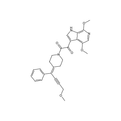 COCC#CC(=C1CCN(C(=O)C(=O)c2c[nH]c3c(OC)ncc(OC)c23)CC1)c1ccccc1